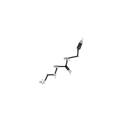 CCONC(=O)NCC#N